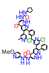 COc1ccc(NC(=O)Nc2c[nH]c3nc(-c4ccccc4)c(-c4cc(Cl)nc(Cc5cccc(-c6nc7[nH]c(NC(=O)NC8CCCC8)cc(=O)c7cc6-c6cc(C)nc(Cl)c6)c5)c4)cc3c2=O)cn1